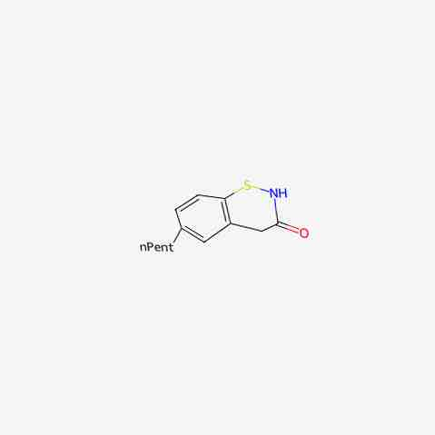 CCCCCc1ccc2c(c1)CC(=O)NS2